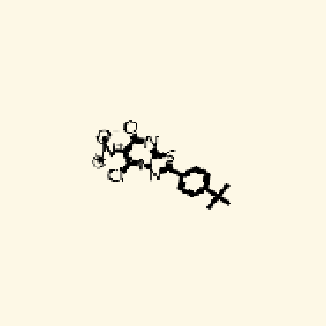 CC(C)(C)c1ccc(-c2nn3c(Cl)c([N+](=O)[O-])c(=O)nc3s2)cc1